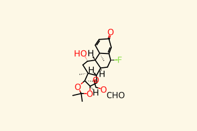 CC1(C)O[C@@H]2C[C@H]3[C@@H]4C[C@H](F)C5=CC(=O)C=C[C@]5(C)[C@H]4[C@@H](O)C[C@]3(C)[C@]2(C(=O)COC=O)O1